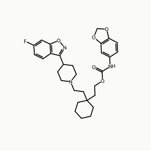 O=C(Nc1ccc2c(c1)OCO2)OCCC1(CCN2CCC(c3noc4cc(F)ccc34)CC2)CCCCC1